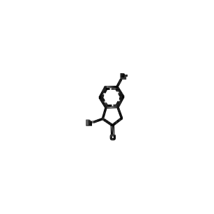 O=C1Cc2cc(Br)ccc2C1Br